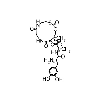 C[C@H](NC(=O)[C@@H](N)Cc1ccc(O)c(O)c1)C(=O)O[C@H]1C(=O)NCCC(=O)NCCSC(=O)OCC1(C)C